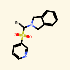 CCC(N1Cc2ccccc2C1)S(=O)(=O)c1cccnc1